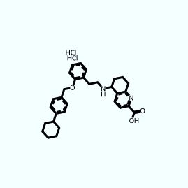 Cl.Cl.O=C(O)c1ccc2c(n1)CCCC2NCCc1ccccc1OCc1ccc(C2CCCCC2)cc1